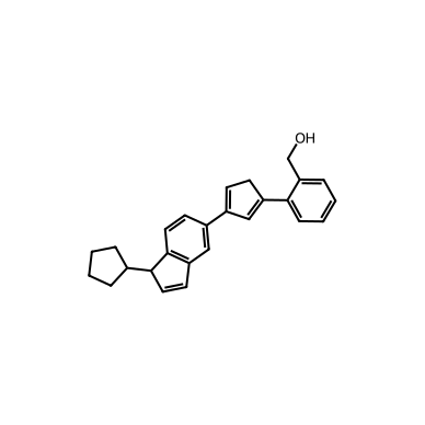 OCc1ccccc1C1=CC(c2ccc3c(c2)C=CC3C2CCCC2)=CC1